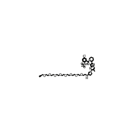 C#CCOCCOCCOCCOCCOCCOCCOCCOCCN[C@H]1CCN(c2nc3cc([C@@H]4CCCCN4C(=O)c4cc(Cl)ccc4NS(C)(=O)=O)nn3cc2C)C1